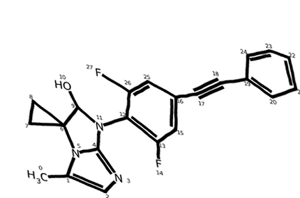 Cc1cnc2n1C1(CC1)C(O)N2c1c(F)cc(C#Cc2ccccc2)cc1F